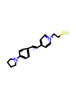 SCC[n+]1ccc(/C=C/c2ccc(N3CCCC3)cc2)cc1